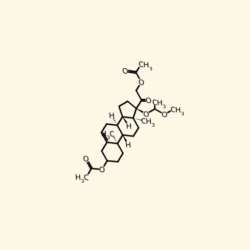 COC(C)O[C@]1(C(=O)COC(C)=O)CC[C@H]2[C@@H]3CC=C4CC(OC(C)=O)CC[C@]4(C)[C@H]3CC[C@@]21C